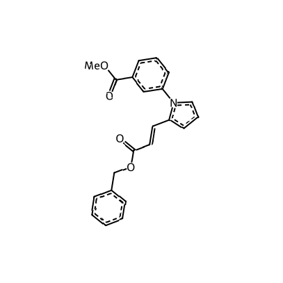 COC(=O)c1cccc(-n2cccc2/C=C/C(=O)OCc2ccccc2)c1